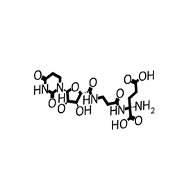 N[C@@](CCC(=O)O)(NC(=O)CCNC(=O)[C@H]1O[C@@H](N2CCC(=O)NC2=O)[C@@H](O)[C@H]1O)C(=O)O